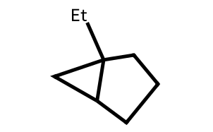 [CH2]CC12CCCC1C2